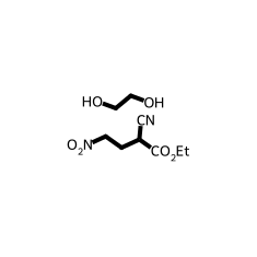 CCOC(=O)C(C#N)CC[N+](=O)[O-].OCCO